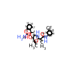 CC#C[C@H](O)[C@H](CC(OC(N)=O)c1ccccc1)NC(=O)C(C)C(=O)Nc1cccc(C(F)(F)F)c1